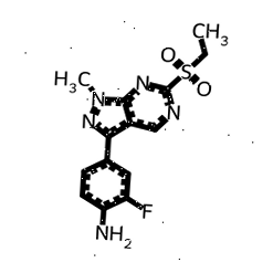 CCS(=O)(=O)c1ncc2c(-c3ccc(N)c(F)c3)nn(C)c2n1